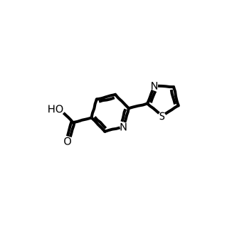 O=C(O)c1ccc(-c2nccs2)nc1